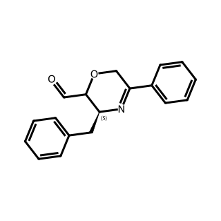 O=CC1OCC(c2ccccc2)=N[C@H]1Cc1ccccc1